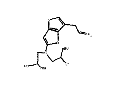 C=CCc1csc2cc(N(CC(CC)CCCC)CC(CC)CCCC)sc12